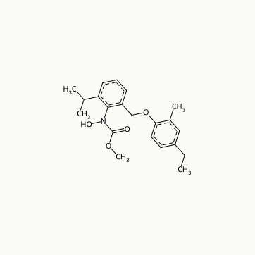 CCc1ccc(OCc2cccc(C(C)C)c2N(O)C(=O)OC)c(C)c1